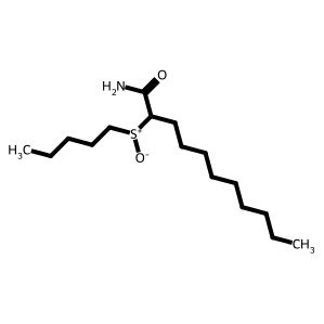 CCCCCCCCCC(C(N)=O)[S+]([O-])CCCCC